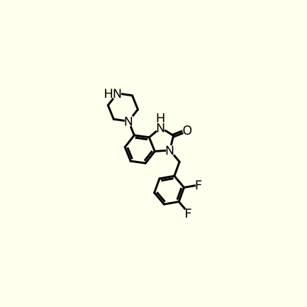 O=c1[nH]c2c(N3CCNCC3)cccc2n1Cc1cccc(F)c1F